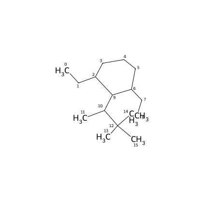 CCC1CCCC(CC)C1C(C)C(C)(C)C